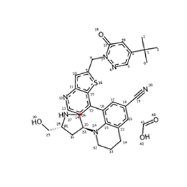 CC(C)(C)c1cnn(Cc2cc3nccc(-c4cc(C#N)cc5c4N([C@@H]4CN[C@@H](CO)C4)CCC5)c3s2)c(=O)c1.O=CO